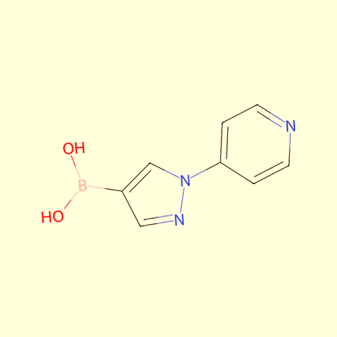 OB(O)c1cnn(-c2ccncc2)c1